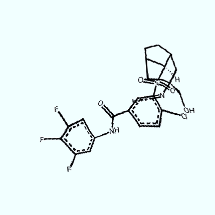 [N-]=[N+]=N[C@]1(CO)CC2CCC(C1)[C@H]2S(=O)(=O)c1cc(C(=O)Nc2cc(F)c(F)c(F)c2)ccc1Cl